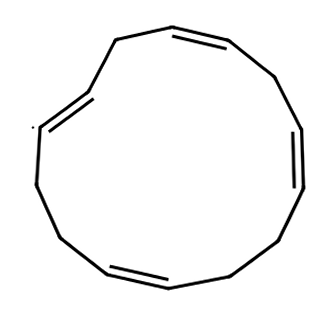 [C]1=C/C/C=C\C/C=C\CC/C=C\CC/1